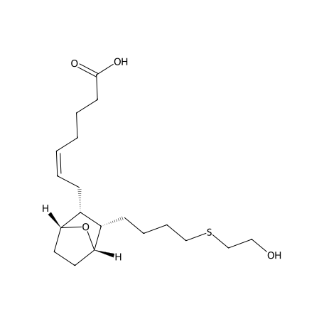 O=C(O)CCC/C=C\C[C@@H]1[C@H](CCCCSCCO)[C@@H]2CC[C@H]1O2